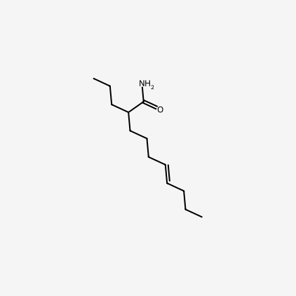 CCCC=CCCCC(CCC)C(N)=O